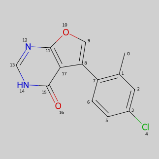 Cc1cc(Cl)ccc1-c1coc2nc[nH]c(=O)c12